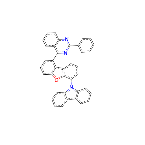 c1ccc(-c2nc(-c3cccc4oc5c(-n6c7ccccc7c7ccccc76)cccc5c34)c3ccccc3n2)cc1